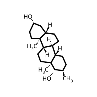 C[C@@H]1CC[C@H]2[C@@H]3CC[C@H]4C[C@@H](O)CC[C@]4(C)[C@H]3CC[C@]2(C)[C@H]1O